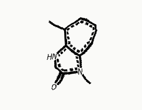 Cc1cccc2c1[nH]c(=O)n2C